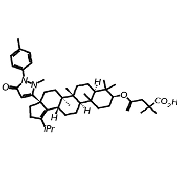 C=C(CC(C)(C)C(=O)O)O[C@H]1CCC2(C)[C@H]3CC[C@@H]4C5=C(C(C)C)CC[C@]5(c5cc(=O)n(-c6ccc(C)cc6)n5C)CC[C@@]4(C)[C@]3(C)CC[C@H]2C1(C)C